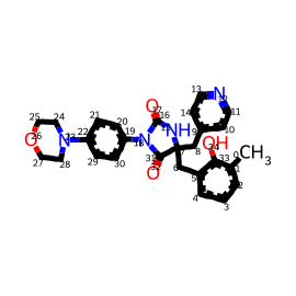 Cc1cccc(CC2(Cc3ccncc3)NC(=O)N(c3ccc(N4CCOCC4)cc3)C2=O)c1O